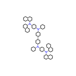 c1ccc(N(c2ccc(-c3ccc(N(c4ccccc4)c4ccc(N(c5cccc6ccccc56)c5cccc6ccccc56)cc4)cc3)cc2)c2ccc(N(c3cccc4ccccc34)c3cccc4ccccc34)cc2)cc1